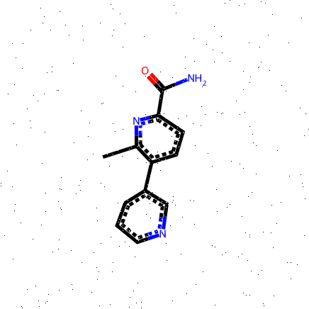 Cc1nc(C(N)=O)ccc1-c1cccnc1